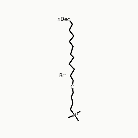 CCCCCCCCCCCCCCCCCCCCCCCCCC[N+](C)(C)C.[Br-]